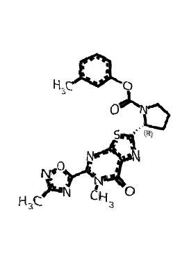 Cc1cccc(OC(=O)N2CCC[C@@H]2c2nc3c(=O)n(C)c(-c4nc(C)no4)nc3s2)c1